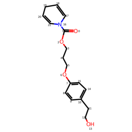 O=C(OCCCOc1ccc(CCO)cc1)N1C=CCC=C1